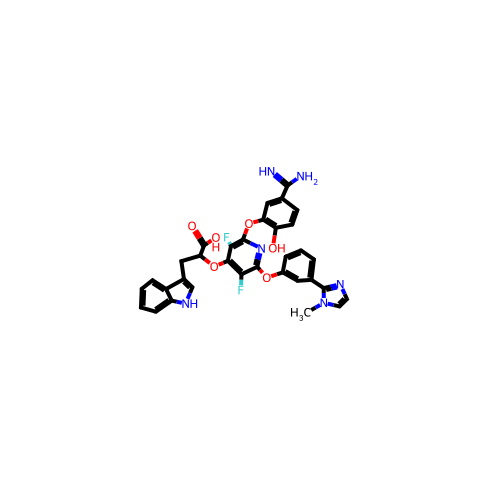 Cn1ccnc1-c1cccc(Oc2nc(Oc3cc(C(=N)N)ccc3O)c(F)c(OC(Cc3c[nH]c4ccccc34)C(=O)O)c2F)c1